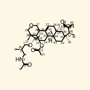 CC(=O)NC[C@@H](C)CO[C@H]1[C@H](OC(C)=O)C[C@@]23COC[C@]1(C)C2CC[C@H]1C3=CC[C@@]2(C)[C@H](C(=O)O)[C@@](C)([C@H](C)C(C)C)CC[C@]12C